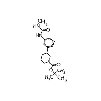 CNC(=O)Nc1cccc(C2CCCN(C(=O)OC(C)(C)C)C2)c1